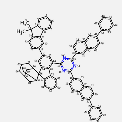 CC1(C)c2ccccc2-c2cc(-c3cc(-c4nc(-c5ccc6cc(-c7ccccc7)ccc6c5)nc(-c5ccc6cc(-c7ccccc7)ccc6c5)n4)c4c(c3)C3(c5ccccc5-4)C4CC5CC(C4)CC3C5)ccc21